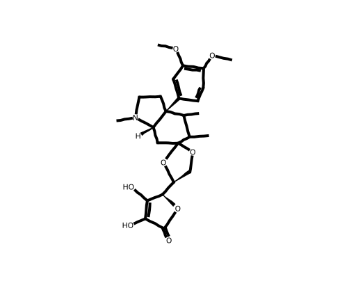 COc1ccc([C@]23CCN(C)[C@H]2CC2(OC[C@@H]([C@H]4OC(=O)C(O)=C4O)O2)C(C)C3C)cc1OC